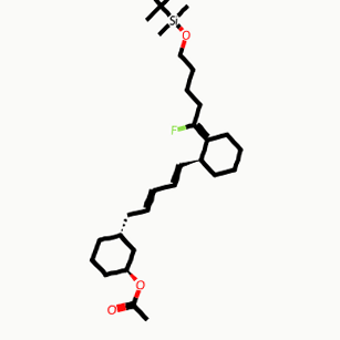 CC(=O)O[C@H]1CCC[C@H](C/C=C/C=C/[C@@H]2CCCCC2=C(F)CCCCO[Si](C)(C)C(C)(C)C)C1